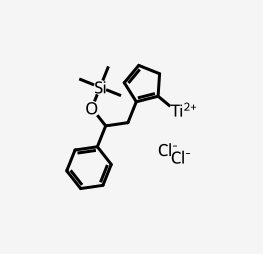 C[Si](C)(C)OC(CC1=[C]([Ti+2])CC=C1)c1ccccc1.[Cl-].[Cl-]